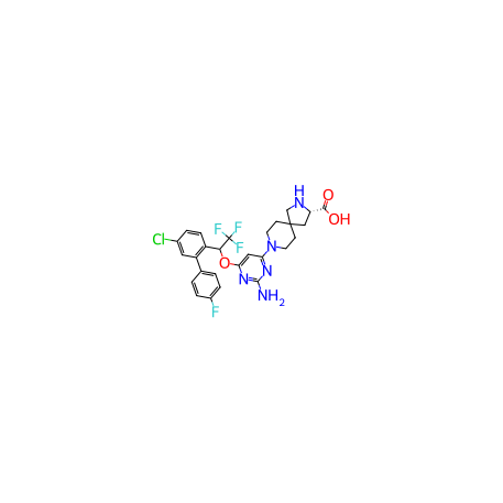 Nc1nc(OC(c2ccc(Cl)cc2-c2ccc(F)cc2)C(F)(F)F)cc(N2CCC3(CC2)CN[C@H](C(=O)O)C3)n1